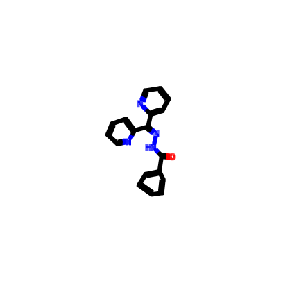 O=C(NN=C(c1ccccn1)c1ccccn1)c1ccccc1